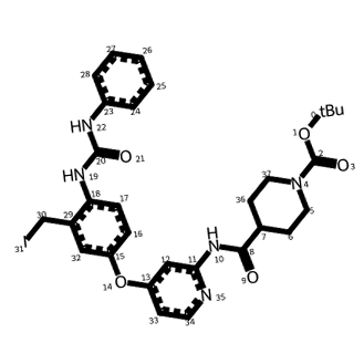 CC(C)(C)OC(=O)N1CCC(C(=O)Nc2cc(Oc3ccc(NC(=O)Nc4ccccc4)c(CI)c3)ccn2)CC1